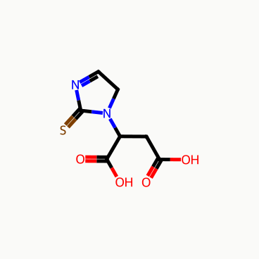 O=C(O)CC(C(=O)O)N1CC=NC1=S